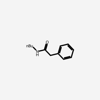 [CH2]CCCNC(=O)Cc1ccccc1